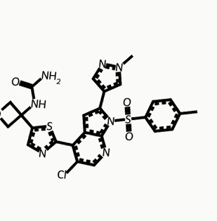 Cc1ccc(S(=O)(=O)n2c(-c3cnn(C)c3)cc3c(-c4ncc(C5(NC(N)=O)COC5)s4)c(Cl)cnc32)cc1